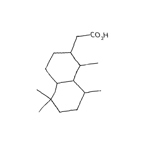 CC1CCC(C)(C)C2CCC(CC(=O)O)C(C)C12